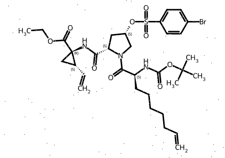 C=CCCCCC[C@H](NC(=O)OC(C)(C)C)C(=O)N1C[C@@H](OS(=O)(=O)c2ccc(Br)cc2)C[C@H]1C(=O)N[C@]1(C(=O)OCC)C[C@H]1C=C